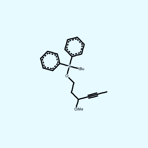 CC#CC(CCO[Si](c1ccccc1)(c1ccccc1)C(C)(C)C)OC